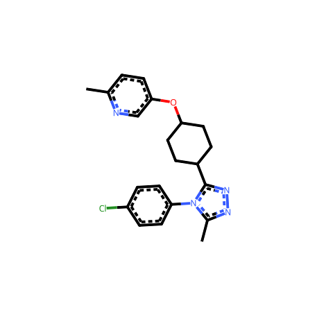 Cc1ccc(OC2CCC(c3nnc(C)n3-c3ccc(Cl)cc3)CC2)cn1